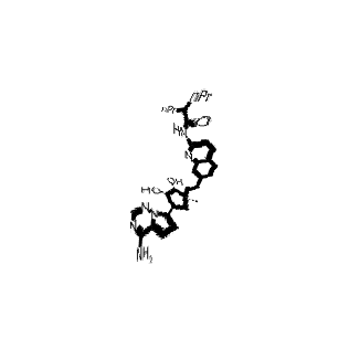 CCCC(CCC)C(=O)Nc1ccc2ccc(CC[C@@]3(C)C[C@@H](c4ccc5c(N)ncnn45)[C@H](O)[C@@H]3O)cc2n1